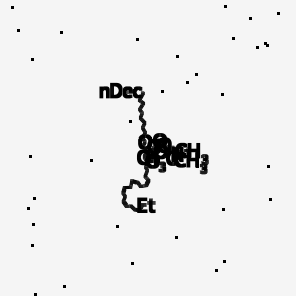 CC/C=C\C/C=C\C/C=C\C/C=C\C/C=C\CCCC(=O)O[C@H](COCCCCCCCCCCCCCCCCCCCC)COP(=O)([O-])OCC[N+](C)(C)C